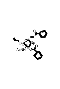 C=CCO[C@H]1O[C@H](COC(=O)c2ccccc2)[C@@H](F)[C@H](OC(=O)c2ccccc2)[C@@H]1NC(C)=O